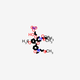 COCCCN1CCOc2ccc(CO[C@H]3CN(C(=O)OC(C)(C)C)C[C@@H](OC[C@H](O)CO[N+](=O)[O-])[C@@H]3c3ccc(OC)cc3)cc21